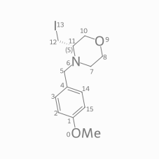 COc1ccc(CN2CCOC[C@H]2CI)cc1